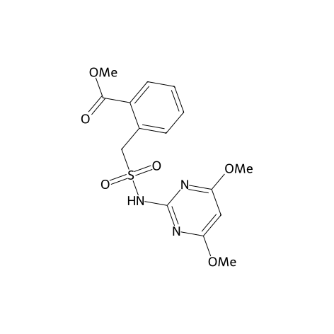 COC(=O)c1ccccc1CS(=O)(=O)Nc1nc(OC)cc(OC)n1